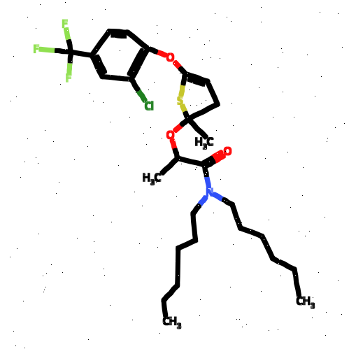 CCCCCCN(CCCCCC)C(=O)C(C)OC1(C)CC=C(Oc2ccc(C(F)(F)F)cc2Cl)S1